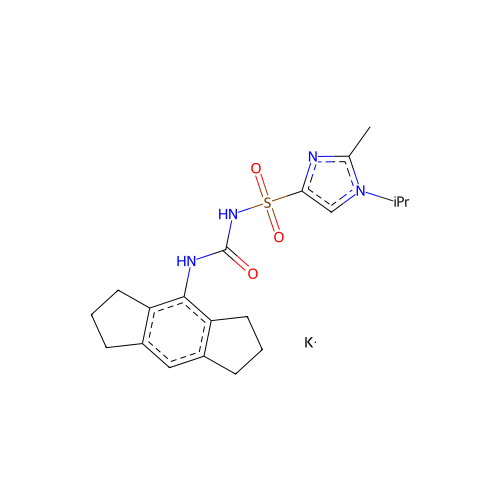 Cc1nc(S(=O)(=O)NC(=O)Nc2c3c(cc4c2CCC4)CCC3)cn1C(C)C.[K]